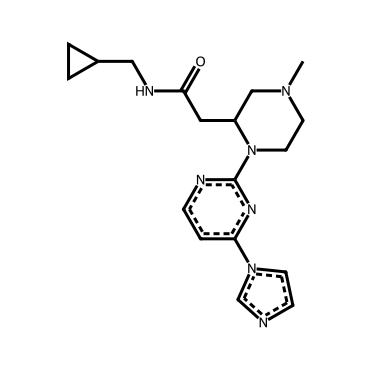 CN1CCN(c2nccc(-n3ccnc3)n2)C(CC(=O)NCC2CC2)C1